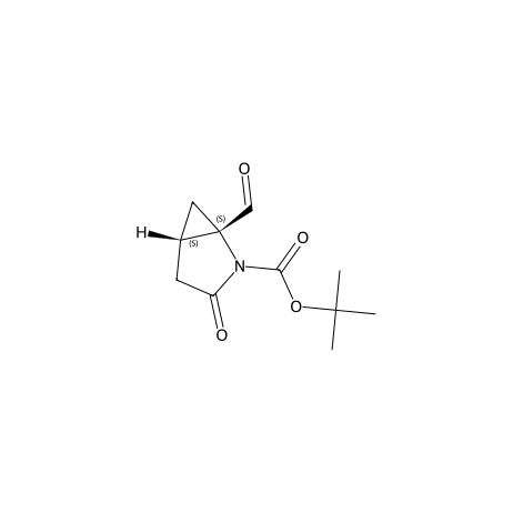 CC(C)(C)OC(=O)N1C(=O)C[C@@H]2C[C@@]21C=O